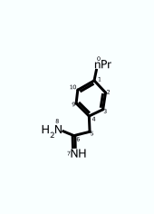 CCCc1ccc(CC(=N)N)cc1